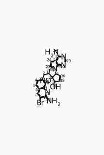 CC(Cc1ccc2cc(Br)c(N)nc2c1)C1(O)C(O)C=CC1n1ccc2c(N)ncnc21